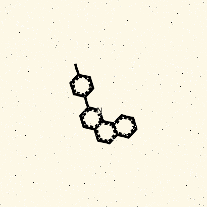 Cc1ccc(-c2ccc3ccc4ccccc4c3n2)cc1